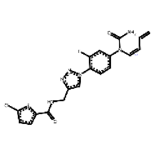 C=C/C=C\N(C(N)=O)c1ccc(-n2cc(CNC(=O)c3ccc(Cl)s3)nn2)c(F)c1